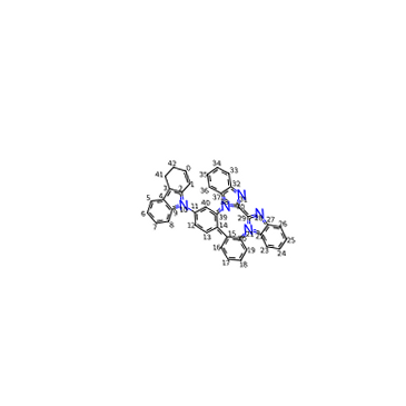 C1=Cc2c(c3ccccc3n2-c2ccc3c4ccccc4n4c5ccccc5nc4c4nc5ccccc5n4c3c2)CC1